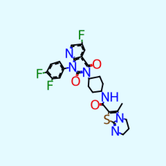 CC1=C(C(=O)N[C@H]2CC[C@@H](n3c(=O)c4cc(F)cnc4n(-c4ccc(F)c(F)c4)c3=O)CC2)SC2=NCCCN21